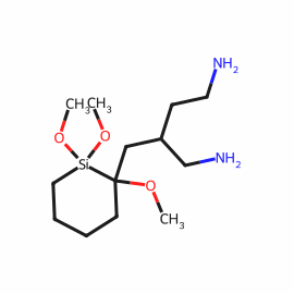 COC1(CC(CN)CCN)CCCC[Si]1(OC)OC